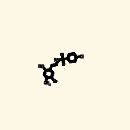 Cc1cc(O)c(/C=N/NS(=O)(=O)c2ccc(Cl)cc2)cc1Br